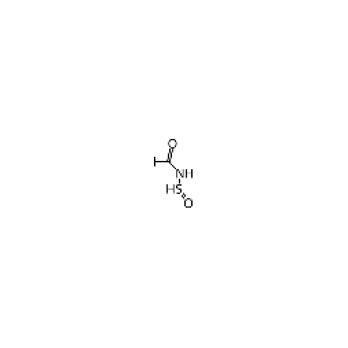 O=[SH]NC(=O)I